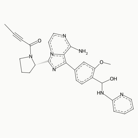 CC#CC(=O)N1CCC[C@H]1c1nc(-c2ccc(C(O)Nc3ccccn3)c(OC)c2)c2c(N)nccn12